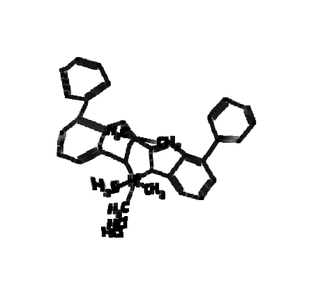 CC1=Cc2c(-c3ccccc3)cccc2[CH]1[Hf]([CH3])([CH3])([SiH3])[CH]1C(C)=Cc2c(-c3ccccc3)cccc21.Cl.Cl